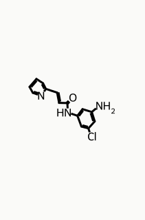 Nc1cc(Cl)cc(NC(=O)/C=C/c2ccccn2)c1